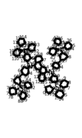 c1ccc([Si](c2ccccc2)(c2ccccc2)c2ccc(N(c3ccc(-c4cccc([Si](c5ccccc5)(c5ccccc5)c5ccccc5)c4)cc3)c3cc4c5ccccc5c(N(c5ccc(-c6cccc([Si](c7ccccc7)(c7ccccc7)c7ccccc7)c6)cc5)c5ccc([Si](c6ccccc6)(c6ccccc6)c6ccccc6)cc5)cc4c4ccccc34)cc2)cc1